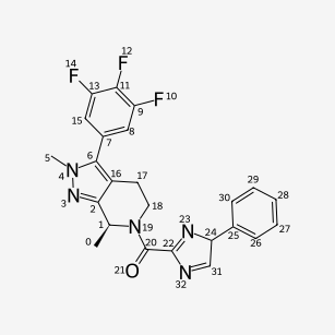 C[C@H]1c2nn(C)c(-c3cc(F)c(F)c(F)c3)c2CCN1C(=O)C1=NC(c2ccccc2)C=N1